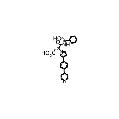 O=C(O)C[C@H](C(=O)N[C@H](CO)c1ccccc1)n1ccc(-c2ccc(-c3ccncc3)cc2)c1